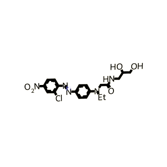 CCN(CC(=O)NCC(O)CO)c1ccc(/N=N/c2ccc([N+](=O)[O-])cc2Cl)cc1